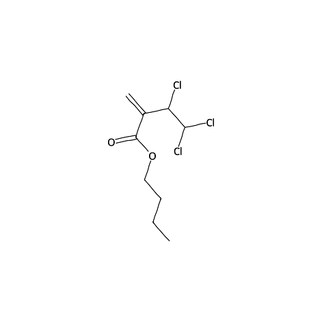 C=C(C(=O)OCCCC)C(Cl)C(Cl)Cl